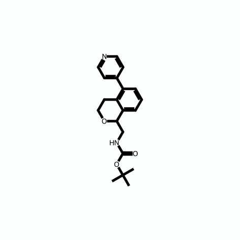 CC(C)(C)OC(=O)NCC1OCCc2c(-c3ccncc3)cccc21